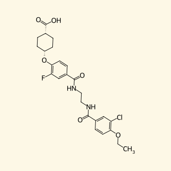 CCOc1ccc(C(=O)NCCNC(=O)c2ccc(O[C@H]3CC[C@@H](C(=O)O)CC3)c(F)c2)cc1Cl